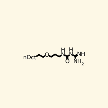 CCCCCCCCCCOCCCNC(=O)NC(=N)N